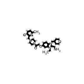 CCn1c(CN)[n+](CC2CCOCC2)c2ccc(OCC(=O)N3CCN(Cc4nc(C)ccc4[O-])CC3)cc21